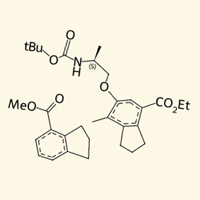 CCOC(=O)c1cc(OC[C@H](C)NC(=O)OC(C)(C)C)c(C)c2c1CCC2.COC(=O)c1cccc2c1CCC2